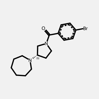 O=C(c1ccc(Br)cc1)N1CC[C@H](N2CCCCCC2)C1